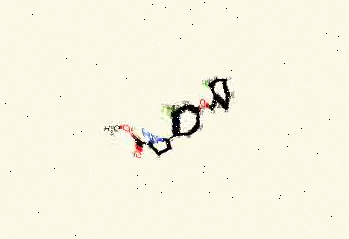 COC(=O)[C@@H]1CC[C@H](c2ccc(OCc3ccccc3F)cc2F)N1